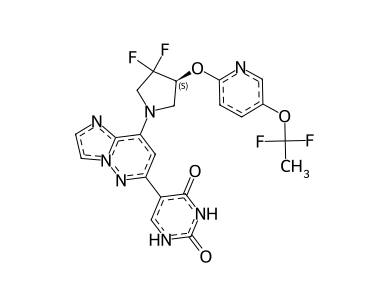 CC(F)(F)Oc1ccc(O[C@H]2CN(c3cc(-c4c[nH]c(=O)[nH]c4=O)nn4ccnc34)CC2(F)F)nc1